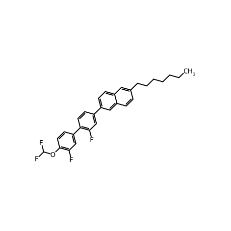 CCCCCCCc1ccc2cc(-c3ccc(-c4ccc(OC(F)F)c(F)c4)c(F)c3)ccc2c1